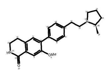 COc1cc2c(cc1-c1ccc(CCN3CCC[C@H]3C)cc1)CCNC2=O